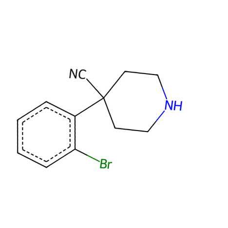 N#CC1(c2ccccc2Br)CCNCC1